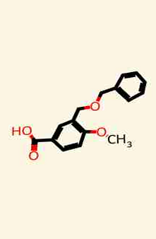 COc1ccc(C(=O)O)cc1COCc1ccccc1